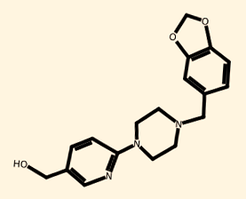 OCc1ccc(N2CCN(Cc3ccc4c(c3)OCO4)CC2)nc1